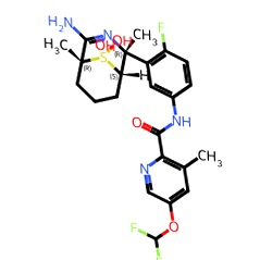 Cc1cc(OC(F)F)cnc1C(=O)Nc1ccc(F)c([C@@]2(C)N=C(N)[C@@]3(C)CCC[C@@H]2S3(O)O)c1